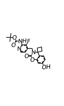 CC(C)(C)OC(=O)Nc1nccc(CN2C(=O)Oc3cc(O)ccc3C23CCC3)c1F